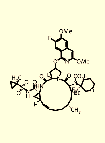 CC[C@@H]1C[C@H](C)CCC=C[C@@H]2C[C@@]2(C(=O)NS(=O)(=O)C2(C)CC2)NC(=O)[C@@H]2C[C@@H](Oc3nc(OC)cc4cc(OC)c(F)cc34)CN2C(=O)[C@H]1N(C(=O)O)C1(C(F)(F)F)CCCOC1